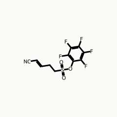 N#C/C=C/CCS(=O)(=O)Oc1c(F)c(F)c(F)c(F)c1F